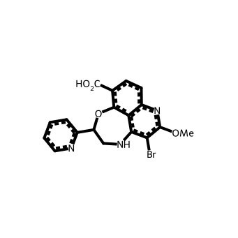 COc1nc2ccc(C(=O)O)c3c2c(c1Br)NCC(c1ccccn1)O3